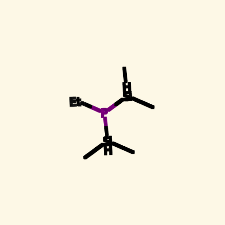 CCP([SiH](C)C)[SiH](C)C